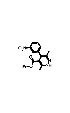 CC1=NNC(C)=C(C(=O)OC(C)C)C1c1cccc([N+](=O)[O-])c1